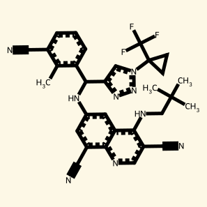 Cc1c(C#N)cccc1C(Nc1cc(C#N)c2ncc(C#N)c(NCC(C)(C)C)c2c1)c1cn(C2(C(F)(F)F)CC2)nn1